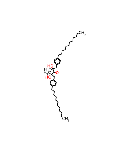 CCCCCCCCCCCCc1ccc(CC(C)(O)C(=O)C(C)(O)Cc2ccc(CCCCCCCCCCCC)cc2)cc1